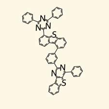 c1ccc(-c2nc(-c3ccccc3)nc(-c3cccc4c3sc3cccc(-c5cccc(-c6nc(-c7ccccc7)c7sc8ccccc8c7n6)c5)c34)n2)cc1